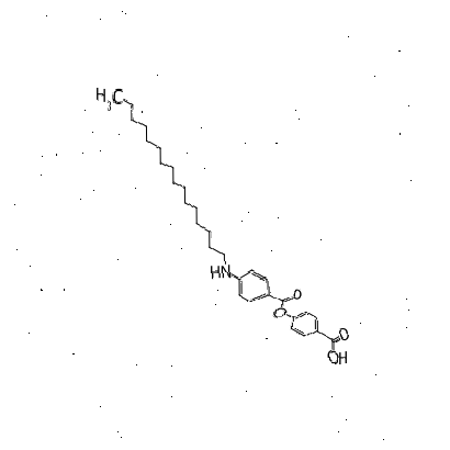 CCCCCCCCCCCCCCCCNc1ccc(C(=O)Oc2ccc(C(=O)O)cc2)cc1